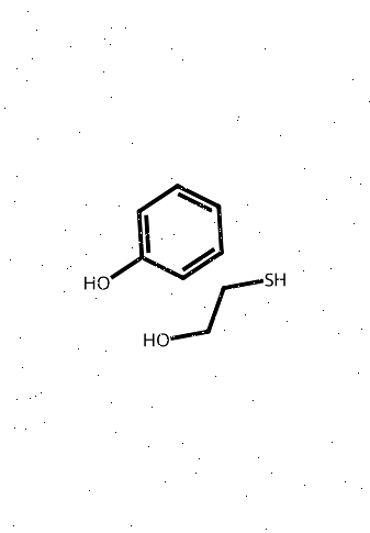 OCCS.Oc1ccccc1